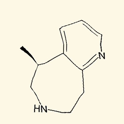 C[C@@H]1CNCCc2ncccc21